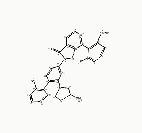 COc1cccc(F)c1-c1nccc2c1CN(c1ccc(-c3cnccc3C#N)c(N3CCC(N)C3)n1)C2=O